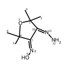 CC1(C)OC(C)(C)C(=NO)C1=NN